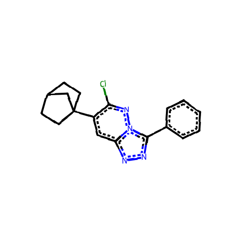 Clc1nn2c(-c3ccccc3)nnc2cc1C12CCC(CC1)C2